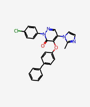 Cc1nccn1-c1cnn(-c2ccc(Cl)cc2)c(=O)c1Oc1ccc(-c2ccccc2)cc1